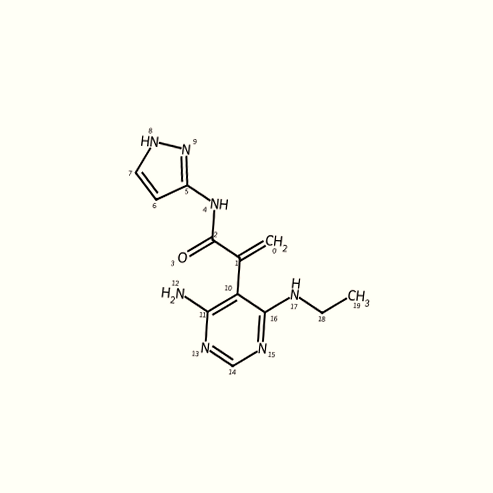 C=C(C(=O)Nc1cc[nH]n1)c1c(N)ncnc1NCC